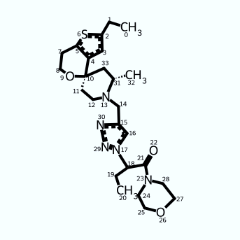 CCc1cc2c(s1)CCO[C@@]21CCN(Cc2cn(C(CC)C(=O)N3CCOCC3)nn2)[C@@H](C)C1